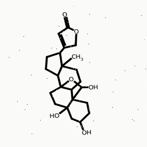 CC12CCC3C4(CCC5(O)CC(O)CCC35C(O)O4)C1CCC2C1=CC(=O)OC1